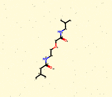 CC(C)CNC(=O)COCCNC(=O)CC(C)C